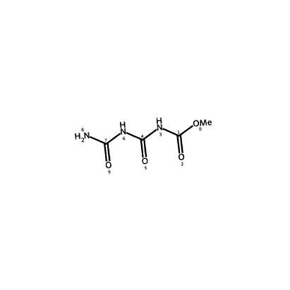 COC(=O)NC(=O)NC(N)=O